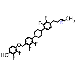 C/C=C/CCc1ccc(C2CCC(c3ccc(COc4ccc(O)c(F)c4F)c(F)c3F)CC2)c(F)c1F